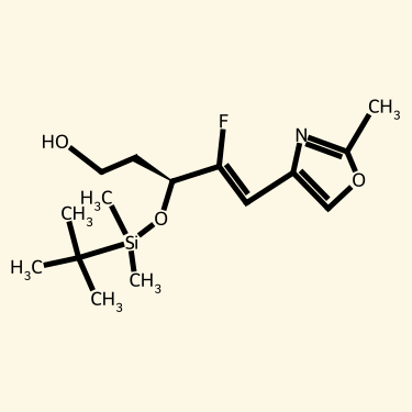 Cc1nc(/C=C(\F)[C@H](CCO)O[Si](C)(C)C(C)(C)C)co1